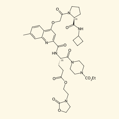 CCOC(=O)N1CCN(C(=O)[C@H](CCC(=O)OCCN2CCOC2=O)NC(=O)c2cc(OCC(=O)N3CCC[C@H]3C(=O)NC3CCC3)c3ccc(C)cc3n2)CC1